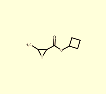 CC1OC1C(=O)OC1CCC1